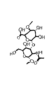 CO[C@@H]1OC(CO)[C@H](O)[C@H](O[C@@H]2OC(C(=O)O)[C@@H](OC)[C@H](O)C2O)C1NC(C)=O